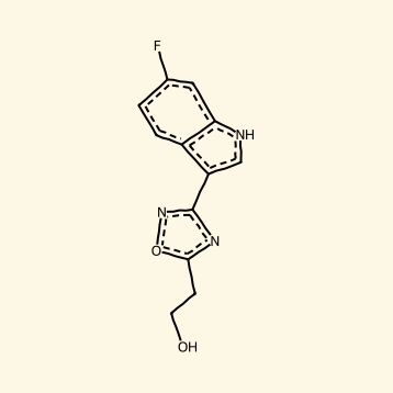 OCCc1nc(-c2c[nH]c3cc(F)ccc23)no1